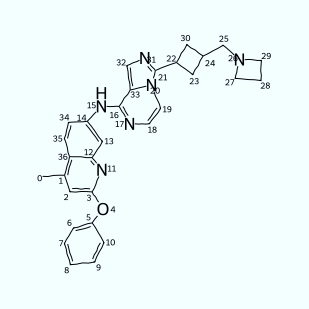 Cc1cc(Oc2ccccc2)nc2cc(Nc3nccn4c(C5CC(CN6CCC6)C5)ncc34)ccc12